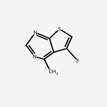 Cc1ncnc2scc(F)c12